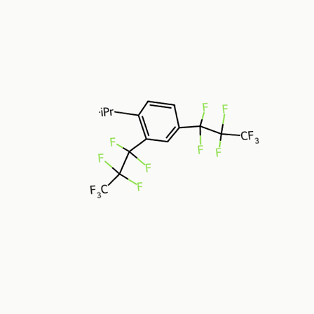 C[C](C)c1ccc(C(F)(F)C(F)(F)C(F)(F)F)cc1C(F)(F)C(F)(F)C(F)(F)F